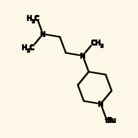 CN(C)CCN(C)C1CCN(C(C)(C)C)CC1